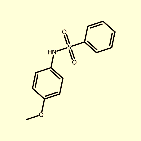 COc1ccc(NS(=O)(=O)c2ccccc2)cc1